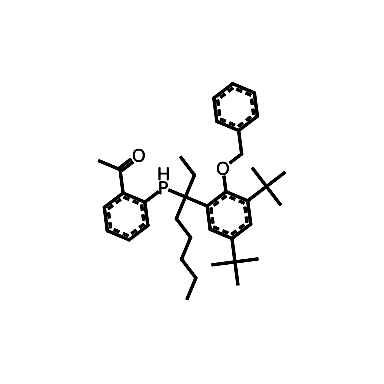 CCCCCC(CC)(Pc1ccccc1C(C)=O)c1cc(C(C)(C)C)cc(C(C)(C)C)c1OCc1ccccc1